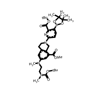 COC(=O)c1cc(N(C)CCN(C)C(=O)OC(C)(C)C)cc2c1CN(c1ccc(B3OC(C)(C)C(C)(C)O3)c(C(=O)OC(C)(C)C)n1)CC2